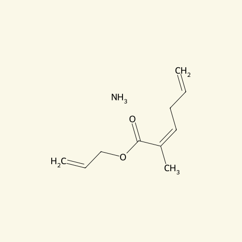 C=CCC=C(C)C(=O)OCC=C.N